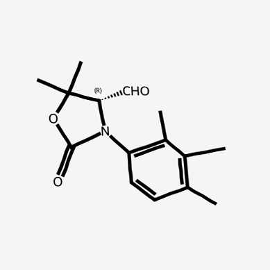 Cc1ccc(N2C(=O)OC(C)(C)[C@@H]2C=O)c(C)c1C